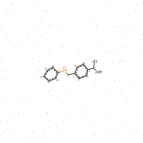 CCCC(CC)c1ccc(CPc2ccccc2)cc1